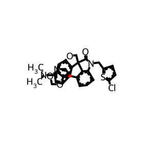 CN(C)c1ccc(-c2cccc3c2C2(COc4cc5c(cc42)OCO5)C(=O)N3Cc2ccc(Cl)s2)cn1